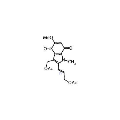 COC1=CC(=O)c2c(c(COC(C)=O)c(/C=C/COC(C)=O)n2C)C1=O